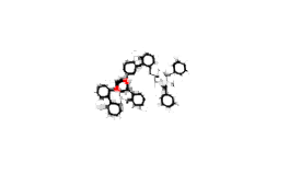 c1ccc(-c2nc(Cc3cccc4sc5ccc(CCCc6cccc7oc8cccc(-n9c%10ccccc%10c%10ccccc%109)c8c67)cc5c34)nc(-c3ccccc3)n2)cc1